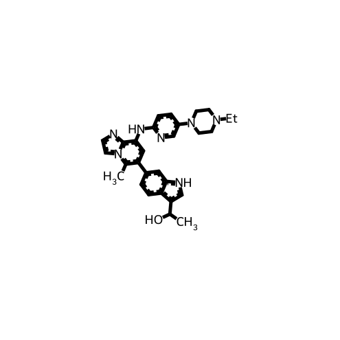 CCN1CCN(c2ccc(Nc3cc(-c4ccc5c(C(C)O)c[nH]c5c4)c(C)n4ccnc34)nc2)CC1